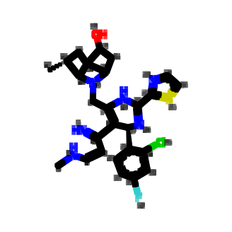 CN/C=C\C(=N)C1=C(CN2C3CC(O)C34C[C@@H](C)C24)NC(c2nccs2)=N[C@H]1c1ccc(F)cc1Cl